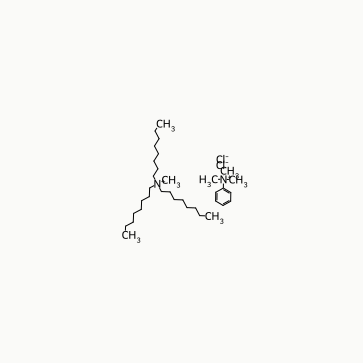 CCCCCCCC[N+](C)(CCCCCCCC)CCCCCCCC.C[N+](C)(C)c1ccccc1.[Cl-].[Cl-]